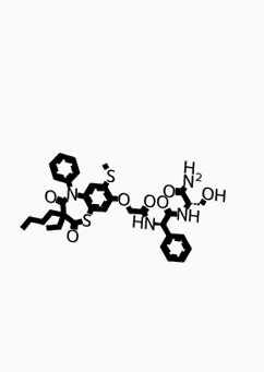 CCCCC1(CC)C(=O)Sc2cc(OCC(=O)N[C@@H](C(=O)N[C@@H](CO)C(N)=O)c3ccccc3)c(SC)cc2N(c2ccccc2)C1=O